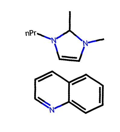 CCCN1C=CN(C)C1C.c1ccc2ncccc2c1